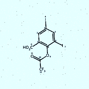 O=C(O)c1cc(I)cc(I)c1OC(=O)C(F)(F)F